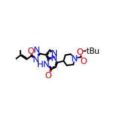 CC(C)=Cc1nc(-c2cnn3c(C4CCN(C(=O)OC(C)(C)C)CC4)cc(=O)[nH]c23)no1